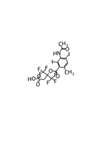 CC(=O)Nc1c(I)cc(C)c(C(=O)OC(CS(=O)(=O)O)(C(F)(F)F)C(F)(F)F)c1I